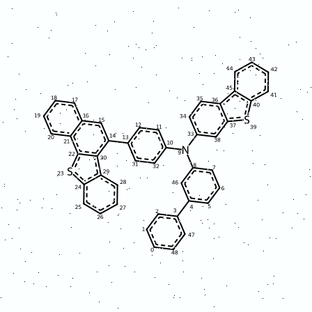 c1ccc(-c2cccc(N(c3ccc(-c4cc5ccccc5c5sc6ccccc6c45)cc3)c3ccc4c(c3)sc3ccccc34)c2)cc1